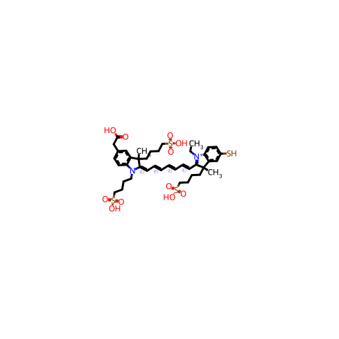 CC[N+]1=C(/C=C/C=C/C=C/C=C2/N(CCCCS(=O)(=O)O)c3ccc(CC(=O)O)cc3C2(C)CCCCS(=O)(=O)O)C(C)(CCCCS(=O)(=O)O)c2cc(S)ccc21